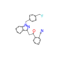 N#Cc1ccccc1C(=O)Cc1nn(Cc2ccc(CF)cc2)c2ccccc12